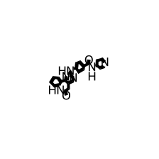 O=C1Cc2cnc(Nc3ccc(C(=O)NC4C=CN=CC4)cc3)nc2-c2ccccc2N1